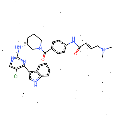 CN(C)CC=CC(=O)Nc1ccc(C(=O)N2CCC[C@@H](Nc3ncc(Cl)c(-c4c[nH]c5ccccc45)n3)C2)cc1